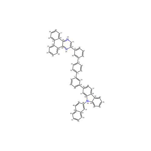 c1cc(-c2ccc(-c3cccc(-c4cnc5c6ccccc6c6ccccc6c5n4)c3)cc2)cc(-c2ccc3c4ccccc4n(-c4ccc5ccccc5c4)c3c2)c1